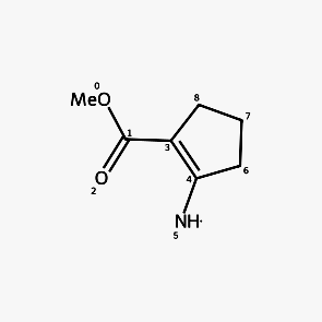 COC(=O)C1=C([NH])CCC1